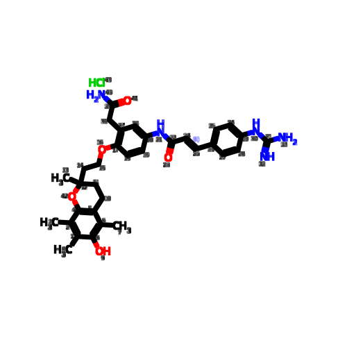 Cc1c(C)c2c(c(C)c1O)CCC(C)(CCOc1ccc(NC(=O)/C=C/c3ccc(NC(=N)N)cc3)cc1CC(N)=O)O2.Cl